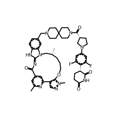 Cc1cc2cc(n1)-c1cnn(C)c1OCCC[C@@H](C)CN1/C(=N/C2=O)Nc2ccc(CN3CCC4(CC3)CCN(C(=O)[C@@H]3CCN(c5cc(F)c([C@H]6CCC(=O)NC6=O)c(F)c5)C3)CC4)cc21